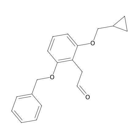 O=CCc1c(OCc2ccccc2)cccc1OCC1CC1